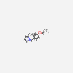 O=Cc1cccn1Cc1ccc(OCC(F)(F)F)cc1